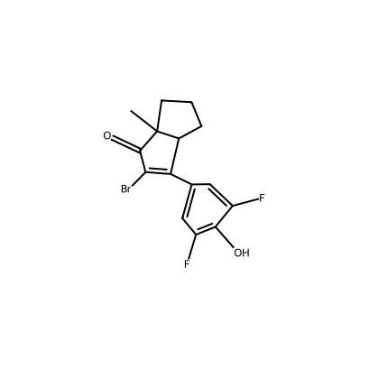 CC12CCCC1C(c1cc(F)c(O)c(F)c1)=C(Br)C2=O